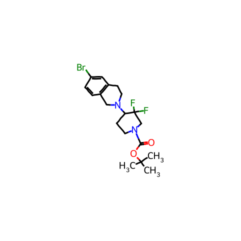 CC(C)(C)OC(=O)N1CCC(N2CCc3cc(Br)ccc3C2)C(F)(F)C1